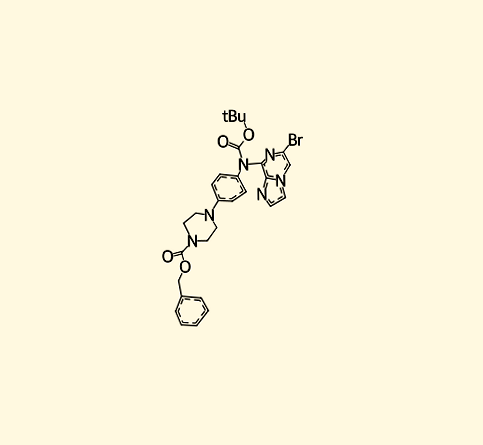 CC(C)(C)OC(=O)N(c1ccc(N2CCN(C(=O)OCc3ccccc3)CC2)cc1)c1nc(Br)cn2ccnc12